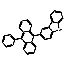 c1ccc(-c2c3ccccc3c(-c3ccc4[nH]c5ccccc5c4c3)c3ccccc23)cc1